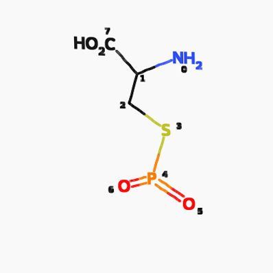 NC(CSP(=O)=O)C(=O)O